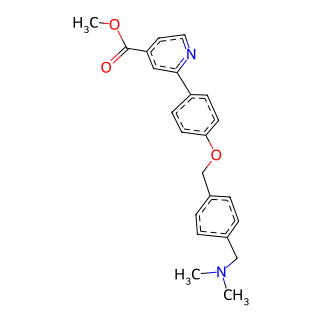 COC(=O)c1ccnc(-c2ccc(OCc3ccc(CN(C)C)cc3)cc2)c1